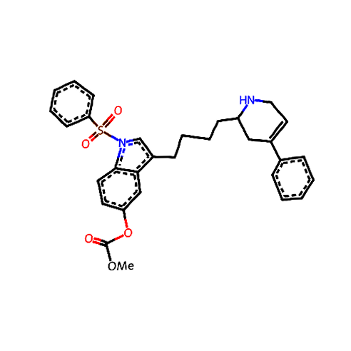 COC(=O)Oc1ccc2c(c1)c(CCCCC1CC(c3ccccc3)=CCN1)cn2S(=O)(=O)c1ccccc1